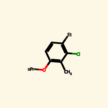 CCCOc1ccc(CC)c(Cl)c1C